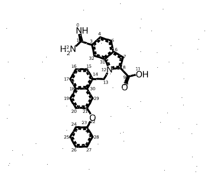 N=C(N)c1ccc2cc(C(=O)O)n(Cc3cccc4ccc(Oc5ccccc5)cc34)c2c1